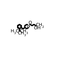 C=C(O)CCC(=O)N1CCC(Cc2ccccc2C(C)(C)C)CC1